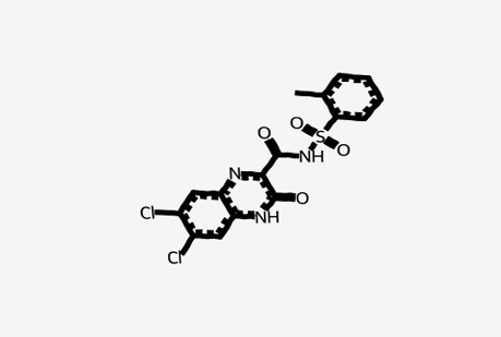 Cc1ccccc1S(=O)(=O)NC(=O)c1nc2cc(Cl)c(Cl)cc2[nH]c1=O